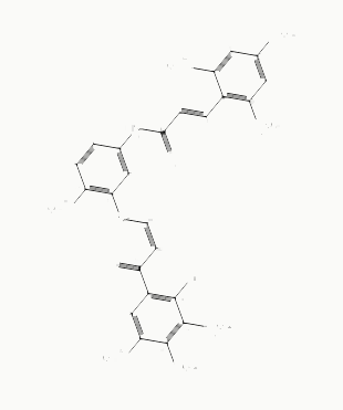 COc1cc(OC)c(/C=C/C(=O)Nc2ccc(OC)c(N/C=C\C(=O)c3cc(OC)c(OC)c(OC)c3Br)c2)c(OC)c1